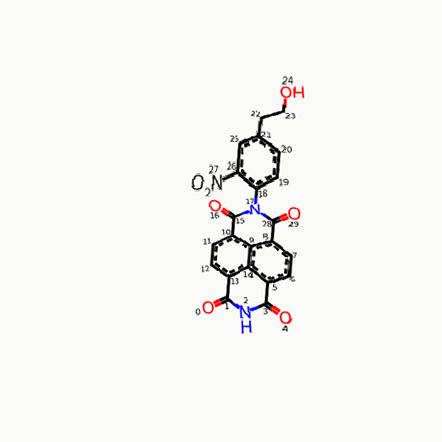 O=C1NC(=O)c2ccc3c4c(ccc1c24)C(=O)N(c1ccc(CCO)cc1[N+](=O)[O-])C3=O